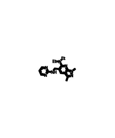 CCN(CC)c1nc2c(cc1CNc1ncccn1)c(C)nn2C